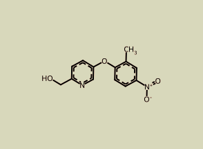 Cc1cc([N+](=O)[O-])ccc1Oc1ccc(CO)nc1